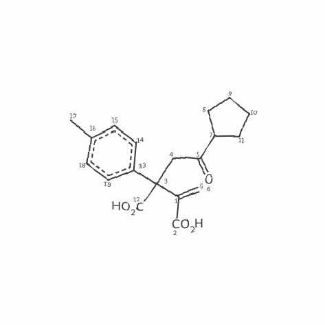 C=C(C(=O)O)C(CC(=O)C1CCCC1)(C(=O)O)c1ccc(C)cc1